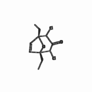 CC[C@@]12C=C[C@@](CC)(O1)C(Cl)C(=O)C2Cl